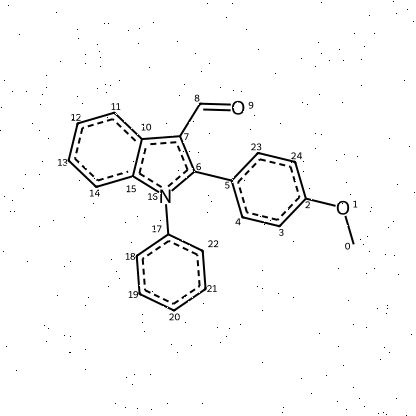 COc1ccc(-c2c(C=O)c3ccccc3n2-c2ccccc2)cc1